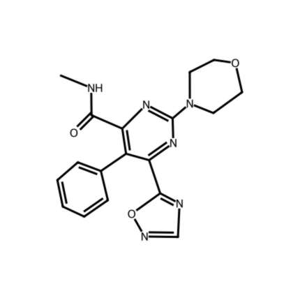 CNC(=O)c1nc(N2CCOCC2)nc(-c2ncno2)c1-c1ccccc1